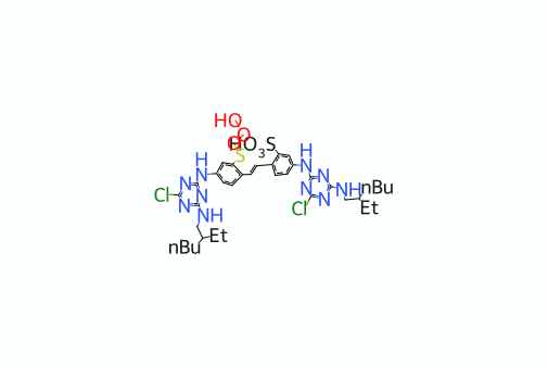 CCCCC(CC)CNc1nc(Cl)nc(Nc2ccc(/C=C/c3ccc(Nc4nc(Cl)nc(NCC(CC)CCCC)n4)cc3S(=O)(=O)O)c(SOOO)c2)n1